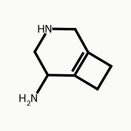 NC1CNCC2=C1CC2